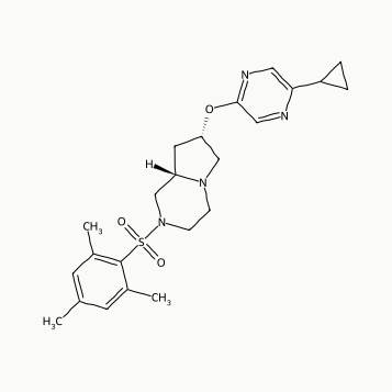 Cc1cc(C)c(S(=O)(=O)N2CCN3C[C@@H](Oc4cnc(C5CC5)cn4)C[C@H]3C2)c(C)c1